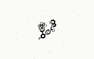 CS(=O)(=O)c1ncc(-c2cc(F)ccc2N2CCN(C(=O)Cn3ccc4cccnc43)CC2)cn1